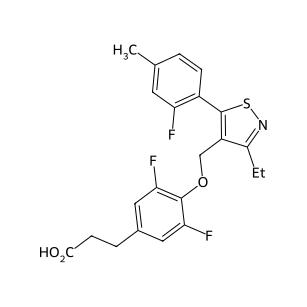 CCc1nsc(-c2ccc(C)cc2F)c1COc1c(F)cc(CCC(=O)O)cc1F